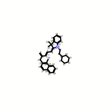 C=C(/C=C/C=C1/N(CCC2CCCCC2)c2ccccc2C1(C)C)Cc1ccc2ccccc2c1C